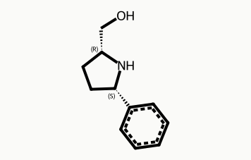 OC[C@H]1CC[C@@H](c2ccccc2)N1